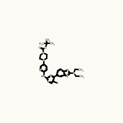 CCN(CC)c1nc2ccc(-c3nc(Nc4ccc(N5CCN(C(=O)OC(C)(C)C)CC5)cn4)ncc3F)cc2s1